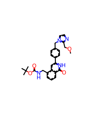 COCc1nccn1Cc1ccc(-c2cc3c(CNC(=O)OC(C)(C)C)cccc3c(=O)[nH]2)cc1